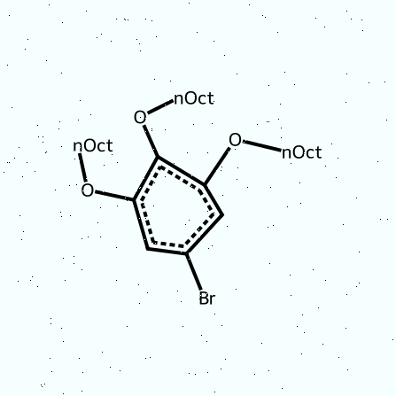 CCCCCCCCOc1cc(Br)cc(OCCCCCCCC)c1OCCCCCCCC